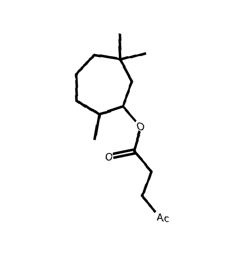 CC(=O)CCC(=O)OC1CC(C)(C)CCCC1C